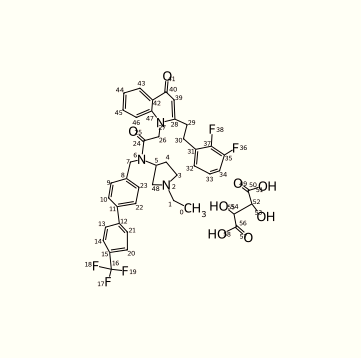 CCN1CCC(N(Cc2ccc(-c3ccc(C(F)(F)F)cc3)cc2)C(=O)Cn2c(CCc3cccc(F)c3F)cc(=O)c3ccccc32)C1.O=C(O)C(O)C(O)C(=O)O